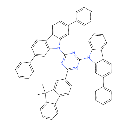 CC1(C)c2ccccc2-c2ccc(-c3nc(-n4c5ccccc5c5ccc(-c6ccccc6)cc54)nc(-n4c5cc(-c6ccccc6)ccc5c5ccc(-c6ccccc6)cc54)n3)cc21